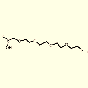 NCCOCCOCCOCCOCB(O)O